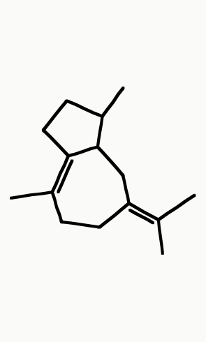 CC(C)=C1CCC(C)=C2CCC(C)C2C1